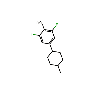 CCCc1c(F)cc(C2CCC(C)CC2)cc1F